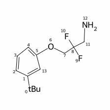 CC(C)(C)c1cccc(OCC(F)(F)CN)c1